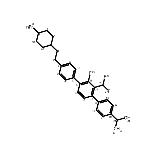 CCCC1CCC(CCc2ccc(-c3ccc(-c4ccc(C(C)O)cc4)c(C(F)F)c3F)cc2)CC1